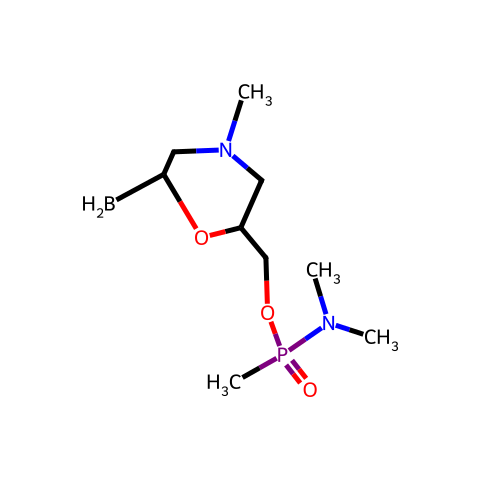 BC1CN(C)CC(COP(C)(=O)N(C)C)O1